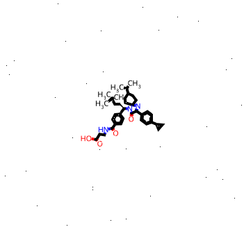 CC(C)C1CCC2(CC1)N=C(c1ccc(C3CC3)cc1)C(=O)N2[C@H](CCC(C)(C)C)c1ccc(C(=O)NCCC(=O)O)cc1